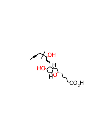 CC#CCC(C)(C)[C@H](O)/C=C/[C@@H]1[C@H]2C[C@H](CCCCC(=O)O)O[C@H]2C[C@H]1O